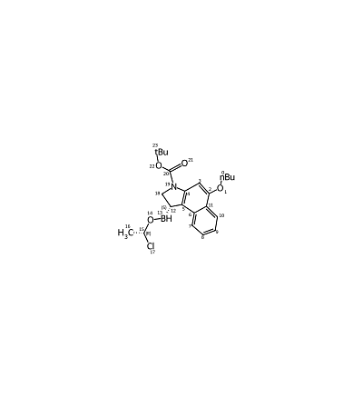 CCCCOc1cc2c(c3ccccc13)[C@H](BO[C@@H](C)Cl)CN2C(=O)OC(C)(C)C